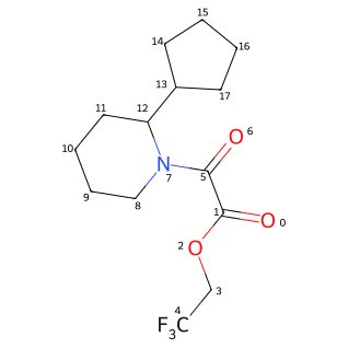 O=C(OCC(F)(F)F)C(=O)N1CCCCC1C1CCCC1